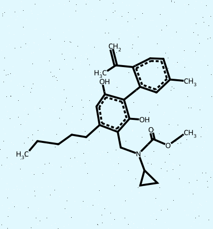 C=C(C)c1ccc(C)cc1-c1c(O)cc(CCCCC)c(CN(C(=O)OC)C2CC2)c1O